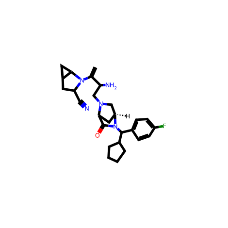 C=C(C(N)CN1C[C@@H]2CC1C(=O)N2C(c1ccc(F)cc1)C1CCCC1)N1C(C#N)CC2CC21